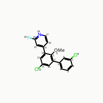 COc1c(-c2cccc(Cl)c2)cc(Cl)cc1-c1ccnc(F)c1